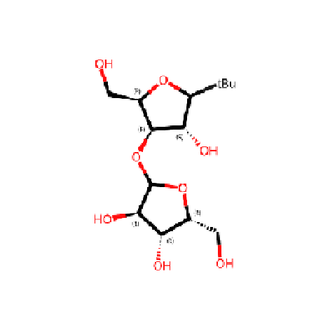 CC(C)(C)C1O[C@H](CO)[C@H](OC2O[C@H](CO)[C@H](O)[C@H]2O)[C@H]1O